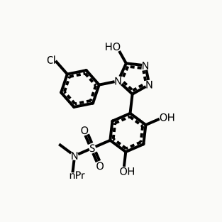 CCCN(C)S(=O)(=O)c1cc(-c2nnc(O)n2-c2cccc(Cl)c2)c(O)cc1O